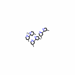 Cc1ccnc(-c2cc(C)ccn2)c1.Cc1ccnc(-c2cc(C)ccn2)c1.Cc1ccnc(-c2cc(C)ccn2)c1.[Fe]